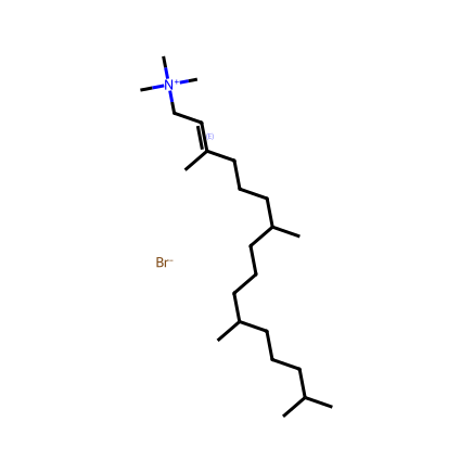 C/C(=C\C[N+](C)(C)C)CCCC(C)CCCC(C)CCCC(C)C.[Br-]